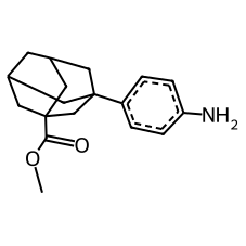 COC(=O)C12CC3CC(C1)CC(c1ccc(N)cc1)(C3)C2